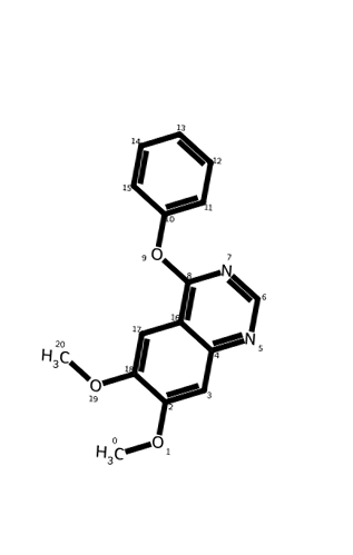 COc1cc2ncnc(Oc3ccccc3)c2cc1OC